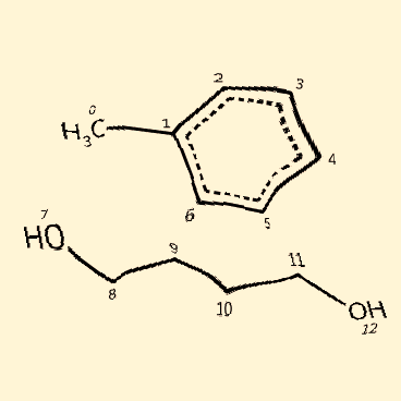 Cc1ccccc1.OCCCCO